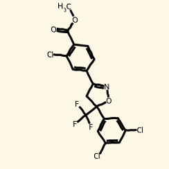 COC(=O)c1ccc(C2=NOC(c3cc(Cl)cc(Cl)c3)(C(F)(F)F)C2)cc1Cl